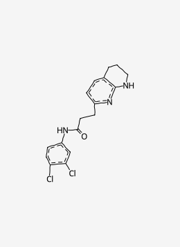 O=C(CCc1ccc2c(n1)NCCC2)Nc1ccc(Cl)c(Cl)c1